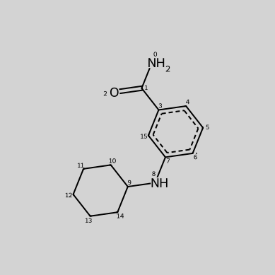 NC(=O)c1cc[c]c(NC2CCCCC2)c1